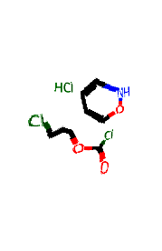 C1=CNOC=C1.Cl.O=C(Cl)OCCCl